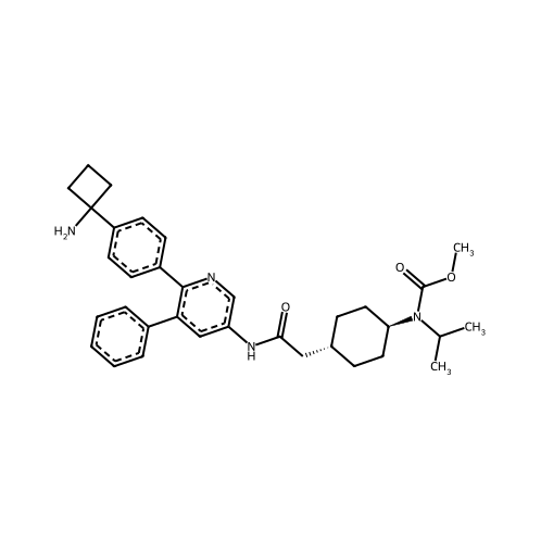 COC(=O)N(C(C)C)[C@H]1CC[C@H](CC(=O)Nc2cnc(-c3ccc(C4(N)CCC4)cc3)c(-c3ccccc3)c2)CC1